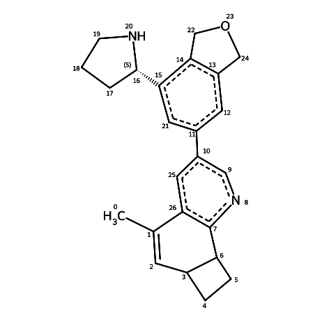 CC1=CC2CCC2c2ncc(-c3cc4c(c([C@@H]5CCCN5)c3)COC4)cc21